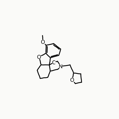 COc1cccc2c1OC1CCCC3CN(CC4CCCO4)CCC231